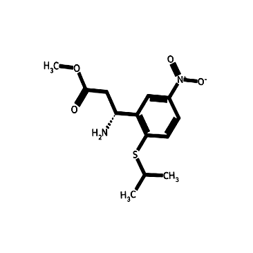 COC(=O)C[C@@H](N)c1cc([N+](=O)[O-])ccc1SC(C)C